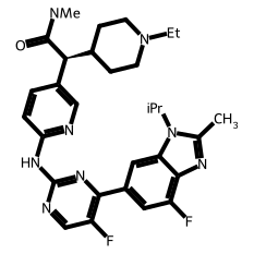 CCN1CCC([C@H](C(=O)NC)c2ccc(Nc3ncc(F)c(-c4cc(F)c5nc(C)n(C(C)C)c5c4)n3)nc2)CC1